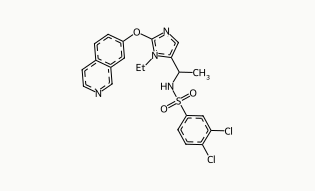 CCn1c(C(C)NS(=O)(=O)c2ccc(Cl)c(Cl)c2)cnc1Oc1ccc2ccncc2c1